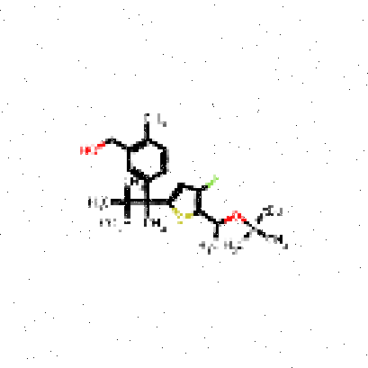 Cc1ccc(C(C)(c2cc(F)c(C(C)O[Si](C)(C)C(C)(C)C)s2)C(C)(C)C(=O)O)cc1CO